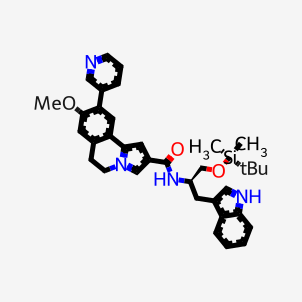 COc1cc2c(cc1-c1cccnc1)-c1cc(C(=O)N[C@@H](CO[Si](C)(C)C(C)(C)C)Cc3c[nH]c4ccccc34)cn1CC2